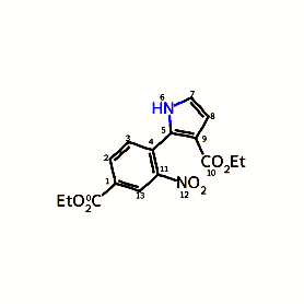 CCOC(=O)c1ccc(-c2[nH]ccc2C(=O)OCC)c([N+](=O)[O-])c1